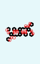 O=C(C=Cc1ccc(OC2CCCCO2)c(-c2cc(C=CC(=O)c3c(O)cc(OC4CCCCO4)cc3OC3CCCCO3)ccc2OC2CCCCO2)c1)c1c(O)cc(OC2CCCCO2)cc1OC1CCCCO1